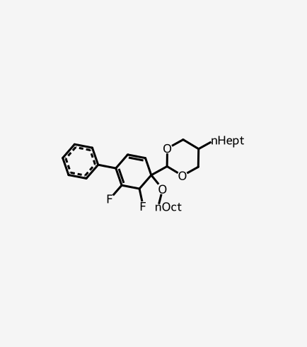 CCCCCCCCOC1(C2OCC(CCCCCCC)CO2)C=CC(c2ccccc2)=C(F)C1F